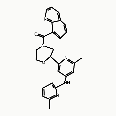 Cc1cccc(Nc2cc(C)nc(C3CN(C(=O)c4cccc5cccnc45)CCO3)c2)n1